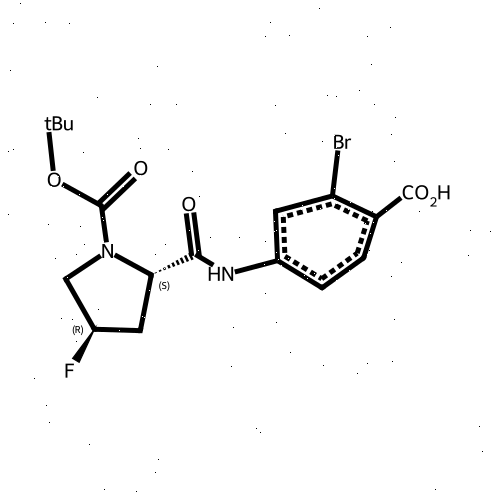 CC(C)(C)OC(=O)N1C[C@H](F)C[C@H]1C(=O)Nc1ccc(C(=O)O)c(Br)c1